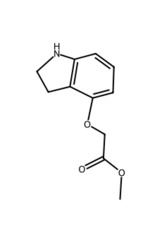 COC(=O)COc1cccc2c1CCN2